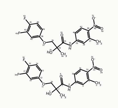 Cc1cc(NC(=O)C(C)(O)COc2ccc(F)c(F)c2)ccc1[N+](=O)[O-].Cc1cc(NC(=O)C(C)(O)COc2ccc(F)c(F)c2)ccc1[N+](=O)[O-]